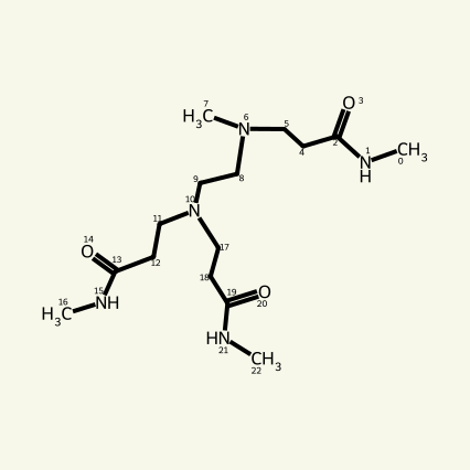 CNC(=O)CCN(C)CCN(CCC(=O)NC)CCC(=O)NC